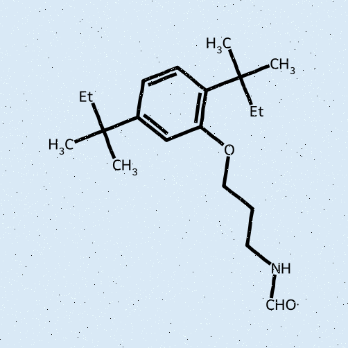 CCC(C)(C)c1ccc(C(C)(C)CC)c(OCCCN[C]=O)c1